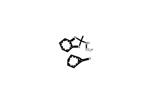 CC1(NC(=O)O)N=c2ccccc2=N1.O=c1c2ccccc12